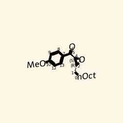 CCCCCCCCC[C@H]1O[C@@H]1C(=O)c1ccc(OC)cc1